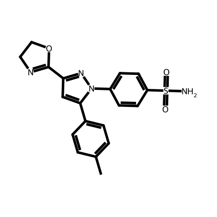 Cc1ccc(-c2cc(C3=NCCO3)nn2-c2ccc(S(N)(=O)=O)cc2)cc1